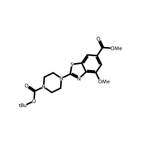 COC(=O)c1cc(OC)c2nc(N3CCN(C(=O)OC(C)(C)C)CC3)sc2c1